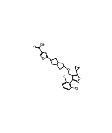 O=C(O)c1csc(N2CC3CC(OCc4c(-c5c(Cl)cccc5Cl)noc4C4CC4)CC3C2)n1